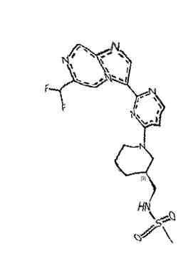 CS(=O)(=O)NC[C@H]1CCCN(c2ccnc(-c3cnc4cnc(C(F)F)cn34)n2)C1